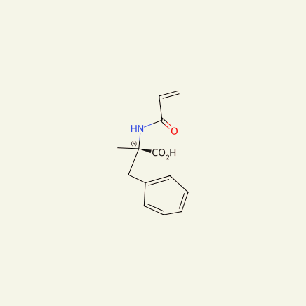 C=CC(=O)N[C@@](C)(Cc1ccccc1)C(=O)O